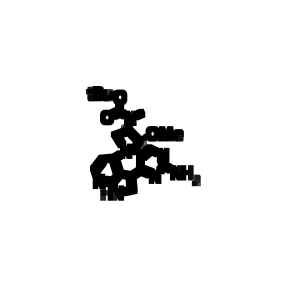 CO[C@@H]1CN(c2ccnc3[nH]cc(-c4ccnc(N)n4)c23)C[C@H]1N(C)C(=O)OC(C)(C)C